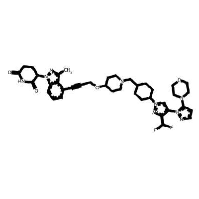 Cc1nn(C2CCC(=O)NC2=O)c2cccc(C#CCOC3CCN(CC4CCC(n5cc(-n6nccc6N6CCOCC6)c(C(F)F)n5)CC4)CC3)c12